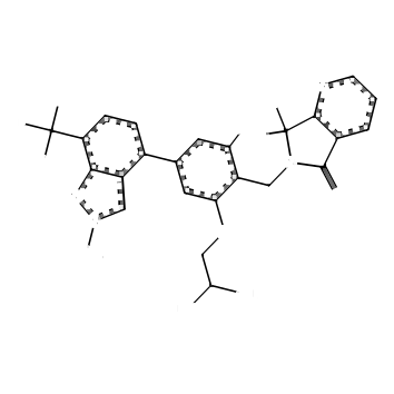 [2H]C1([2H])c2ncccc2C(=O)N1Cc1c(F)cc(-c2ccc(C(F)(F)F)c3nn(C)cc23)cc1OCC(C)C